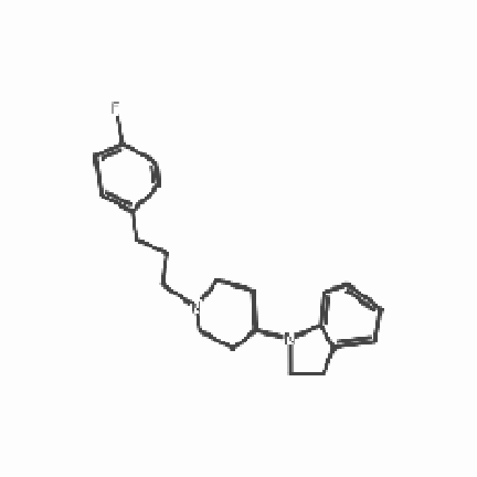 Fc1ccc(CCCN2CCC(N3CCc4ccccc43)CC2)cc1